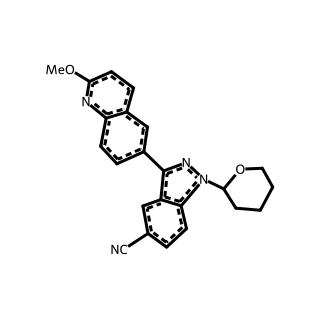 COc1ccc2cc(-c3nn(C4CCCCO4)c4ccc(C#N)cc34)ccc2n1